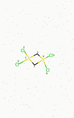 ClS1(Cl)CS(Cl)(Cl)C1